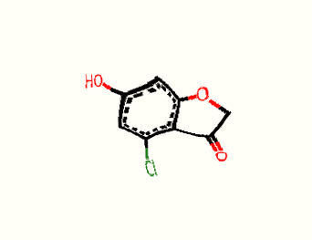 O=C1COc2cc(O)cc(Cl)c21